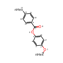 CCCCCCOc1ccc(OC(=O)c2ccc(CCCCCC)cc2)cc1